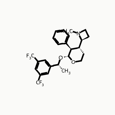 C[C@@H](O[C@H]1OCC[C@@H]([C@@H]2CCN2C)[C@@H]1c1ccccc1)c1cc(C(F)(F)F)cc(C(F)(F)F)c1